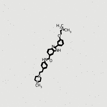 CN(C)CCOc1cccc(-c2nc3ccc(C(=O)Nc4ccc(CCN5CCN(C)CC5)cc4)cc3[nH]2)c1